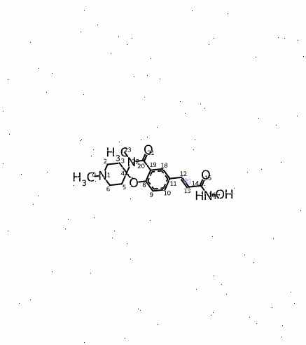 CN1CCC2(CC1)Oc1ccc(/C=C/C(=O)NO)cc1C(=O)N2C